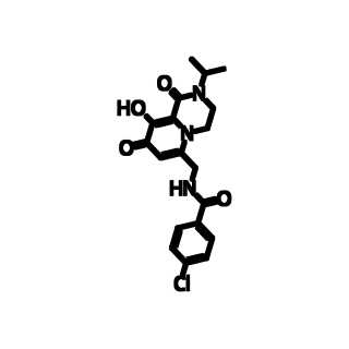 CC(C)N1CCn2c(CNC(=O)c3ccc(Cl)cc3)cc(=O)c(O)c2C1=O